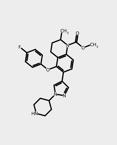 COC(=O)N1c2ccc(-c3cnn(C4CCNCC4)c3)c(Oc3ccc(F)cc3)c2CCC1C